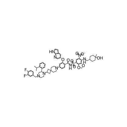 CC(C)c1ccccc1C1CN(Cc2ccc(F)c(F)c2)CCN1C1CC2(CCN(c3ccc(C(=O)NS(=O)(=O)c4cc([N+](=O)[O-])c(NCC5CCC(C)(O)CC5)c5c4OCO5)c(Oc4cnc5[nH]ccc5c4)c3)CC2)C1